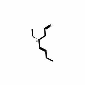 CCC=C[C@H](CC)C[C]=O